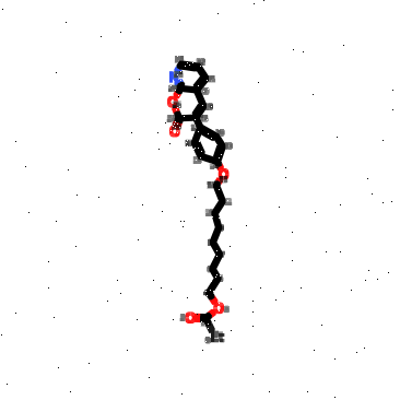 CCC(=O)OCCCCCCCCCOc1ccc(-c2cc3cccnc3oc2=O)cc1